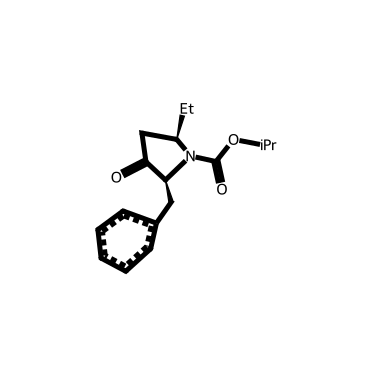 CC[C@@H]1CC(=O)[C@H](Cc2ccccc2)N1C(=O)OC(C)C